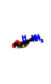 Cl.N=C(N)c1ccc(C2CCN(C(=O)N[C@H]3CC[C@H](C(=O)OCC(=O)N4CCOCC4)CC3)CC2)cc1